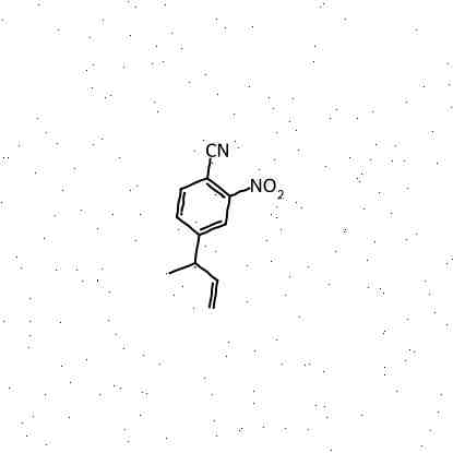 C=C[C](C)c1ccc(C#N)c([N+](=O)[O-])c1